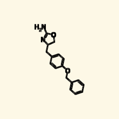 NC1=NC(Cc2ccc(OCc3ccccc3)cc2)CO1